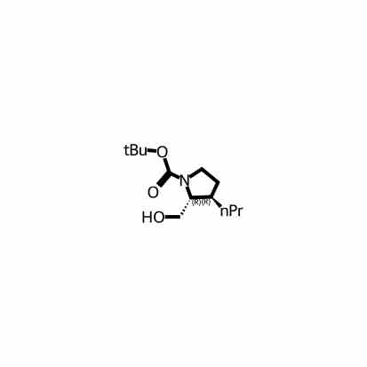 CCC[C@@H]1CCN(C(=O)OC(C)(C)C)[C@H]1CO